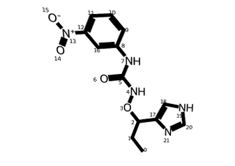 CCC(ONC(=O)Nc1cccc([N+](=O)[O-])c1)c1c[nH]cn1